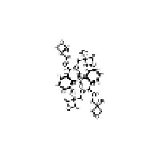 CCC1(COC(OCC2(CC)COC2)c2ccccc2S(=O)(=O)c2ccccc2C(OCC2(CC)COC2)OCC2(CC)COC2)COC1